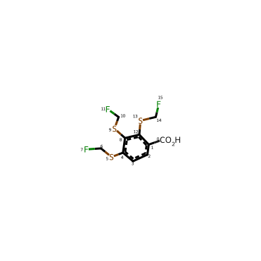 O=C(O)c1ccc(SCF)c(SCF)c1SCF